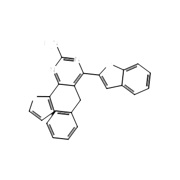 Nc1nc(-c2cc3ccccc3o2)c(Cc2ccccc2)c(-c2cccs2)n1